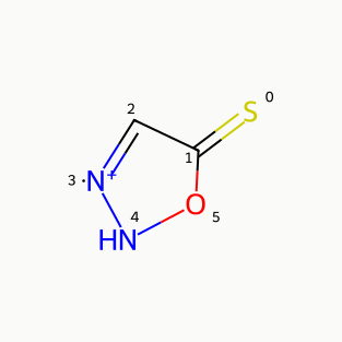 S=C1C=[N+]NO1